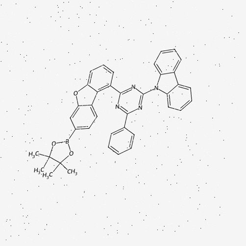 CC1(C)OB(c2ccc3c(c2)oc2cccc(-c4nc(-c5ccccc5)nc(-n5c6ccccc6c6ccccc65)n4)c23)OC1(C)C